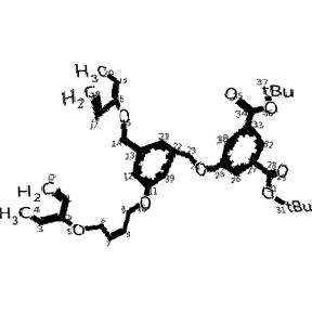 C=C/C(=C\C)OC/C=C\COc1cc(CO/C(C=C)=C/C)cc(COc2cc(C(=O)OC(C)(C)C)cc(C(=O)OC(C)(C)C)c2)c1